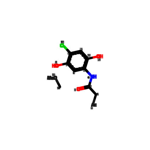 CC(=O)CC(=O)Nc1cc(O)c(Cl)cc1O.COC